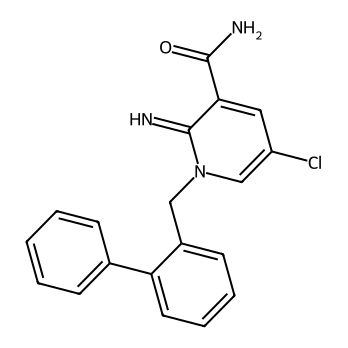 N=c1c(C(N)=O)cc(Cl)cn1Cc1ccccc1-c1ccccc1